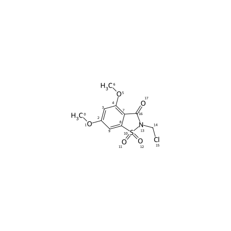 COc1cc(OC)c2c(c1)S(=O)(=O)N(CCl)C2=O